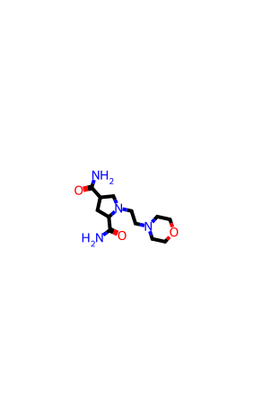 NC(=O)C1CC(C(N)=O)N(CCN2CCOCC2)C1